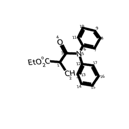 CCOC(=O)C(C)C(=O)N(c1ccccc1)c1ccccc1